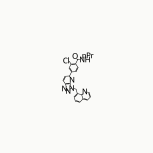 CCCNC(=O)c1ccc(-c2ccc3nnn(Cc4cccc5cccnc45)c3n2)cc1Cl